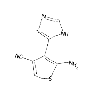 N#Cc1csc(N)c1-c1nnc[nH]1